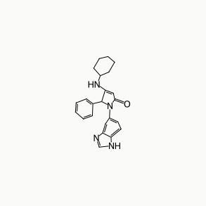 O=C1C=C(NC2CCCCC2)C(c2ccccc2)N1c1ccc2[nH]cnc2c1